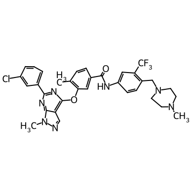 Cc1ccc(C(=O)Nc2ccc(CN3CCN(C)CC3)c(C(F)(F)F)c2)cc1Oc1nc(-c2cccc(Cl)c2)nc2c1cnn2C